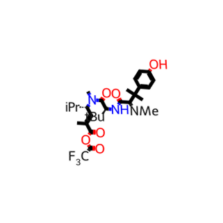 CNC(C(=O)N[C@H](C(=O)N(C)[C@H](/C=C(\C)C(=O)OC(=O)C(F)(F)F)C(C)C)C(C)(C)C)C(C)(C)c1ccc(O)cc1